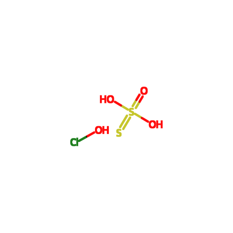 O=S(O)(O)=S.OCl